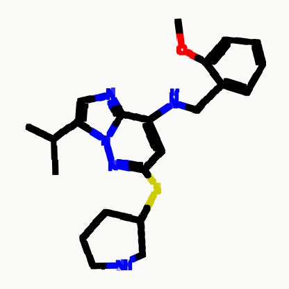 COc1ccccc1CNc1cc(SC2CCCNC2)nn2c(C(C)C)cnc12